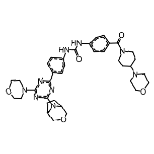 O=C(Nc1ccc(C(=O)N2CCC(N3CCOCC3)CC2)cc1)Nc1ccc(-c2nc(N3CCOCC3)nc(N3C4CCC3COC4)n2)cc1